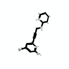 Cc1cc(Br)cc(C#CCOC2CCCCO2)n1